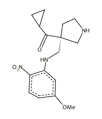 COc1ccc([N+](=O)[O-])c(NC[C@]2(C(=O)C3CC3)CCNC2)c1